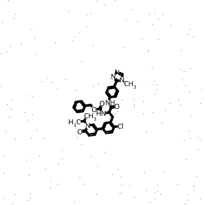 CC(C)n1cc(-c2ccc(Cl)c(CC(NC(=O)OCc3ccccc3)C(=O)Nc3ccc(-c4nncn4C)cc3)c2)ccc1=O